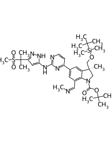 C/N=C\c1cc(-c2ccnc(Nc3cc(C(C)(C)S(C)(=O)=O)n[nH]3)n2)cc2c1N(C(=O)OC(C)(C)C)C[C@]2(C)CO[Si](C)(C)C(C)(C)C